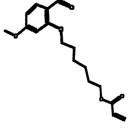 C=CC(=O)OCCCCCCOc1cc(OC)ccc1C=O